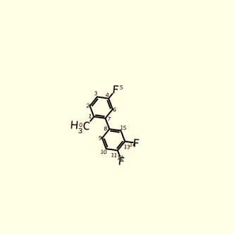 Cc1ccc(F)cc1-c1ccc(F)c(F)c1